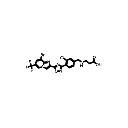 O=C(O)CCNCc1ccc(-c2noc(-c3cn4cc(C(F)(F)F)cc(Br)c4n3)n2)c(Cl)c1